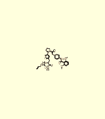 C=CCOC(=O)NC(Cc1cc(C2CCCN2C(=O)Cc2ccc(NC(=O)c3c(OC)cccc3OC)cc2)no1)C(=O)O